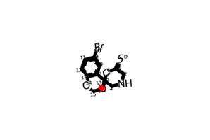 S=C1CNCC2(O1)c1cc(Br)ccc1OCC21COC1